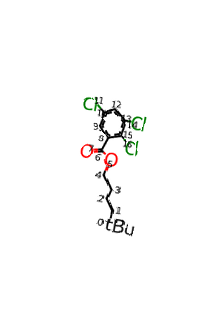 CC(C)(C)CCCCOC(=O)c1[c]c(Cl)cc(Cl)c1Cl